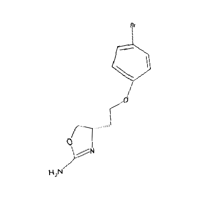 NC1=N[C@@H](CCOc2ccc(Br)cc2)CO1